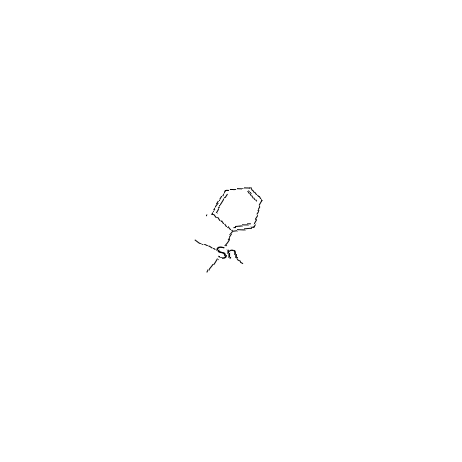 [CH3][Sn]([CH3])([CH3])[c]1[c]cccc1